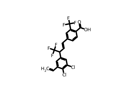 C=Cc1cc(C(C=Cc2ccc(C(=O)O)c(C(F)(F)F)c2)C(F)(F)F)cc(Cl)c1Cl